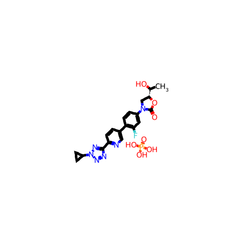 CC(O)[C@H]1CN(c2ccc(-c3ccc(-c4nnn(C5CC5)n4)nc3)c(F)c2)C(=O)O1.O=P(O)(O)O